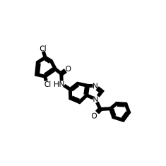 O=C(Nc1ccc2c(c1)ncn2C(=O)c1ccccc1)c1cc(Cl)ccc1Cl